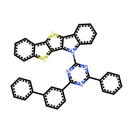 c1ccc(-c2cccc(-c3nc(-c4ccccc4)nc(-n4c5ccccc5c5sc6c7ccccc7sc6c54)n3)c2)cc1